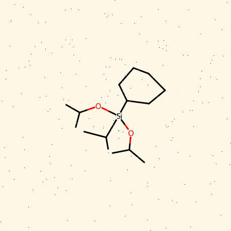 CC(C)O[Si](OC(C)C)(C(C)C)C1CCCCC1